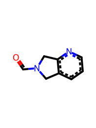 O=CN1Cc2cccnc2C1